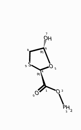 O=C(OP)[C@@H]1O[C@@H](O)CS1